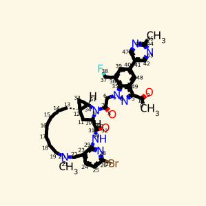 CC(=O)c1nn(CC(=O)N2[C@H]3C[C@@]4(CCCCCCCN(C)Cc5ccc(Br)nc5NC3=O)C[C@@H]24)c2c(CF)cc(-c3cnc(C)nc3)cc12